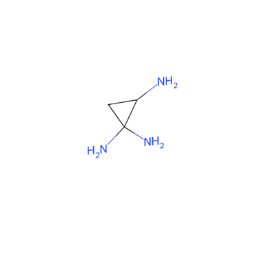 NC1CC1(N)N